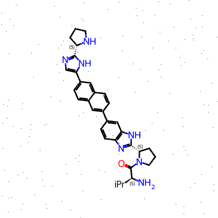 CC(C)[C@H](N)C(=O)N1CCC[C@H]1c1nc2ccc(-c3ccc4cc(-c5cnc([C@@H]6CCCN6)[nH]5)ccc4c3)cc2[nH]1